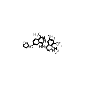 C=C[C@@H](Nc1nnc(C)c2ccc(O[C@H]3CCOC3)cc12)c1cc(N)cc(C(F)(F)F)c1C